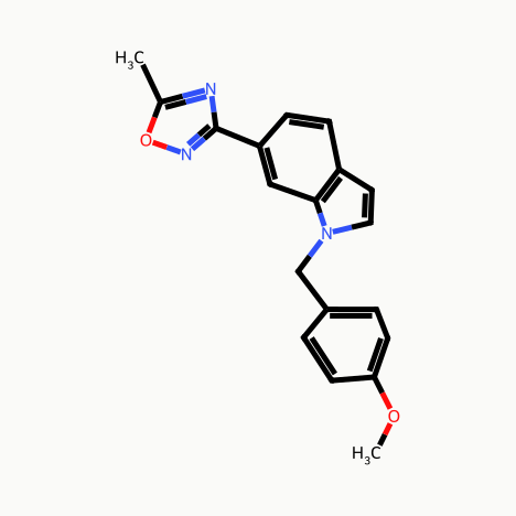 COc1ccc(Cn2ccc3ccc(-c4noc(C)n4)cc32)cc1